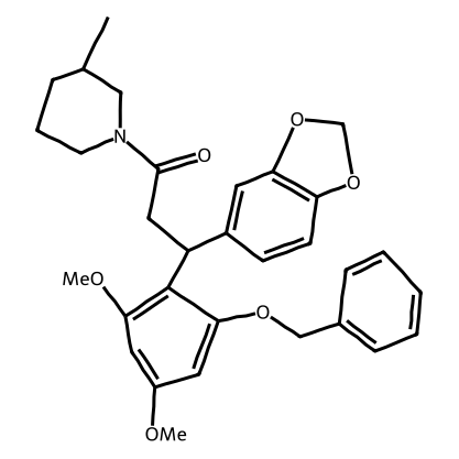 COc1cc(OC)c(C(CC(=O)N2CCCC(C)C2)c2ccc3c(c2)OCO3)c(OCc2ccccc2)c1